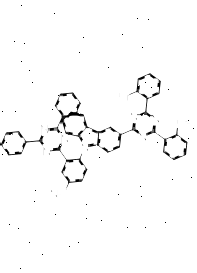 CC(C)(C)c1ccccc1-c1nc(-c2ccc3c(c2)c2ccccc2n3-c2ccc(C#N)cc2-c2nc(-c3ccccc3)nc(-c3ccccc3)n2)nc(-c2ccccc2C(C)(C)C)n1